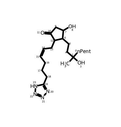 CCCCCC(C)(O)CCC1C(O)CC(=O)C1C/C=C\CCCc1nnn[nH]1